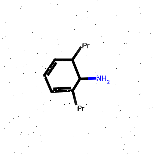 CC(C)C1=CC=CC(C(C)C)C1N